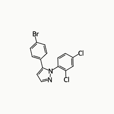 Clc1ccc(-n2nccc2-c2ccc(Br)cc2)c(Cl)c1